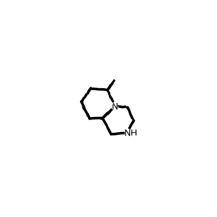 CC1CCCC2CNCCN12